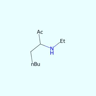 CCCCCC(NCC)C(C)=O